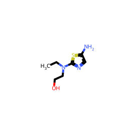 CCN(CCO)c1ncc(N)s1